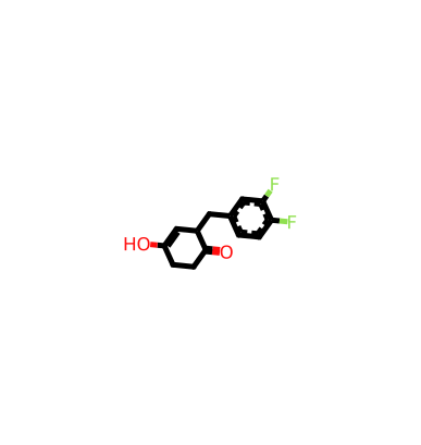 O=C1CCC(O)=CC1Cc1ccc(F)c(F)c1